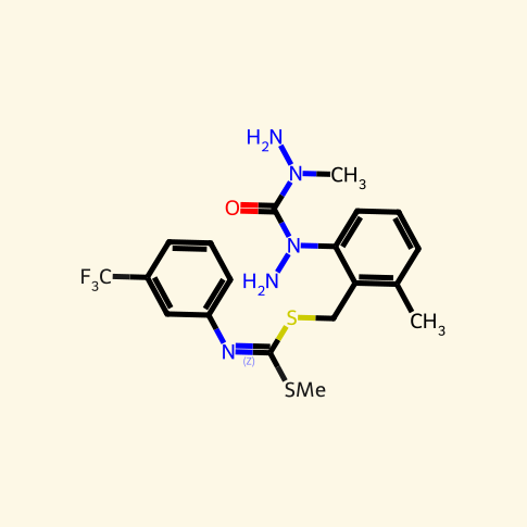 CS/C(=N/c1cccc(C(F)(F)F)c1)SCc1c(C)cccc1N(N)C(=O)N(C)N